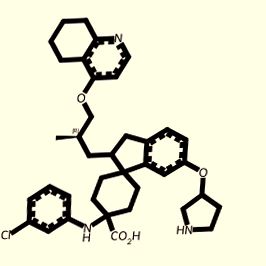 C[C@@H](COc1ccnc2c1CCCC2)CC1Cc2ccc(OC3CCNC3)cc2C12CCC(Nc1cccc(Cl)c1)(C(=O)O)CC2